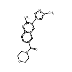 Cc1nc2ccc(C(=O)N3CCOCC3)cc2cc1-c1cnn(C)c1